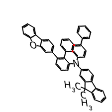 CC1(C)c2ccccc2-c2ccc(N(c3ccc(-c4ccccc4)cc3)c3cccc(-c4ccc5c(c4)oc4ccccc45)c3-c3ccccc3)cc21